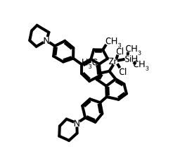 CC1=Cc2c(-c3ccc(N4CCCCC4)cc3)cccc2[CH]1[Zr]([Cl])([Cl])([CH]1C(C)=Cc2c(-c3ccc(N4CCCCC4)cc3)cccc21)[SiH](C)C